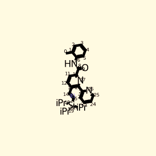 Cc1ccccc1NC(=O)c1ccc(/C=C/[Si](C(C)C)(C(C)C)C(C)C)c(-c2ccccn2)n1